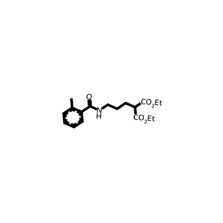 CCOC(=O)C(CCCNC(=O)c1ccccc1C)C(=O)OCC